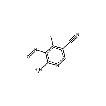 Cc1c(C#N)cnc(N)c1N=O